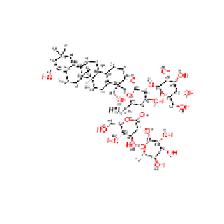 C[C@@H]1OC(O[C@H]2C(O[C@H]3[C@H](O)[C@@H](OC4O[C@H](CO)[C@@H](O)[C@H](O)[C@H]4O)C(O[C@H]4CC[C@@]5(C)C(CC[C@]6(C)C5CC=C5C7CC(C)(C)C[C@@H](O)[C@]7(C)CC[C@]56C)[C@@]4(C)CO)O[C@@H]3C(=O)O)O[C@H](CO)[C@@H](O)[C@@H]2O)[C@H](O)[C@H](O)[C@H]1O